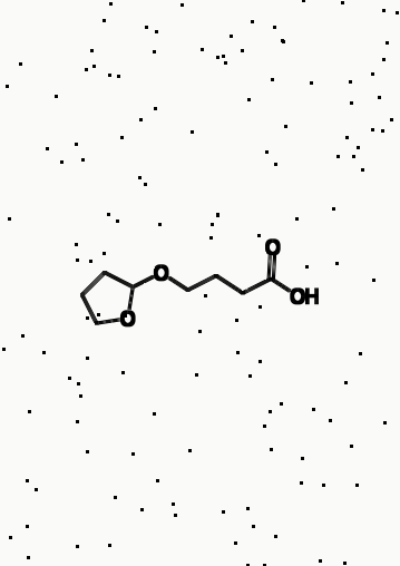 O=C(O)CCCOC1CCCO1